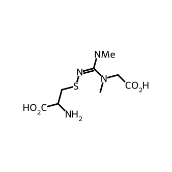 CNC(=NSCC(N)C(=O)O)N(C)CC(=O)O